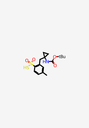 Cc1ccc(S(=O)(=O)S)c(CC2(NC(=O)OC(C)(C)C)CC2)c1